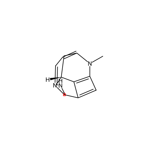 Cn1c2ccnc3c4cc1c4[C@H](CNC=3)C2